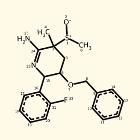 C[S+]([O-])C1(C)CC(OCc2ccccc2)C(c2ccccc2F)N=C1N